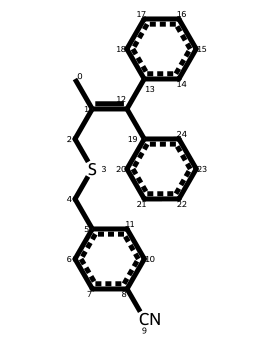 CC(CSCc1ccc(C#N)cc1)=C(c1ccccc1)c1ccccc1